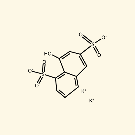 O=S(=O)([O-])c1cc(O)c2c(S(=O)(=O)[O-])cccc2c1.[K+].[K+]